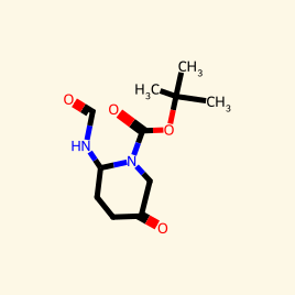 CC(C)(C)OC(=O)N1CC(=O)CCC1NC=O